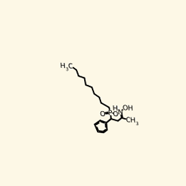 CCCCCCCCCCP(=O)(O)C(CC(C)=NO)c1ccccc1